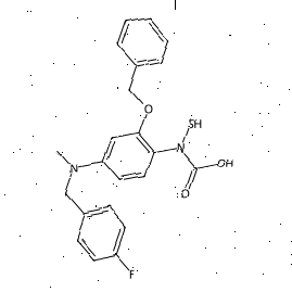 CN(Cc1ccc(F)cc1)c1ccc(N(S)C(=O)O)c(OCc2ccccc2)c1